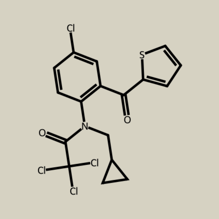 O=C(c1cccs1)c1cc(Cl)ccc1N(CC1CC1)C(=O)C(Cl)(Cl)Cl